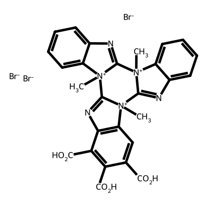 C[N+]12C(=Nc3ccccc31)[N+]1(C)C(=Nc3ccccc31)[N+]1(C)C2=Nc2c1cc(C(=O)O)c(C(=O)O)c2C(=O)O.[Br-].[Br-].[Br-]